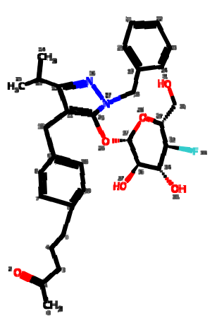 CC(=O)CCCc1ccc(Cc2c(C(C)C)nn(Cc3ccccc3)c2O[C@@H]2O[C@H](CO)[C@@H](F)[C@H](O)[C@H]2O)cc1